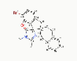 CC1=NC2(C(=O)N1C)c1cc(Br)ccc1CC21CCc2ccccc2CC1